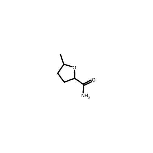 CC1CCC(C(N)=O)O1